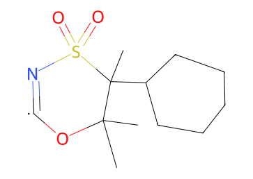 CC1(C)O[C]=NS(=O)(=O)C1(C)C1CCCCC1